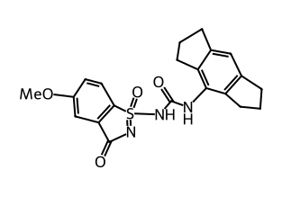 COc1ccc2c(c1)C(=O)N=S2(=O)NC(=O)Nc1c2c(cc3c1CCC3)CCC2